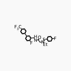 CCN(CC(=O)NCc1cc(-c2ccc(C(F)(F)F)cc2)ccc1F)Sc1ccc(F)cc1